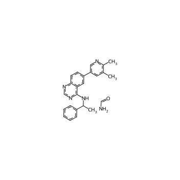 Cc1cc(-c2ccc3ncnc(NC(C)c4ccccc4)c3c2)cnc1C.NC=O